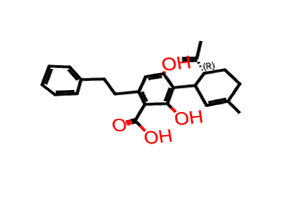 C=C(C)[C@@H]1CCC(C)=CC1c1c(O)cc(CCc2ccccc2)c(C(=O)O)c1O